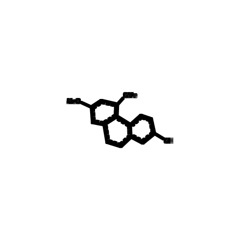 COc1cc(OC)c2c(ccc3cc(O)ccc32)c1